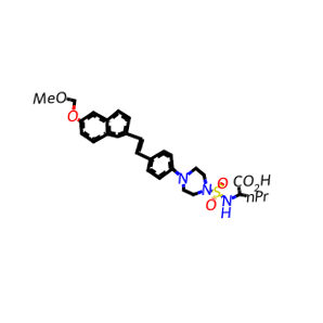 CCCC(NS(=O)(=O)N1CCN(c2ccc(C=Cc3ccc4cc(OCOC)ccc4c3)cc2)CC1)C(=O)O